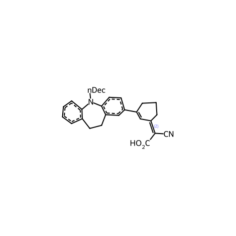 CCCCCCCCCCN1c2ccccc2CCc2cc(C3=C/C(=C(/C#N)C(=O)O)CCC3)ccc21